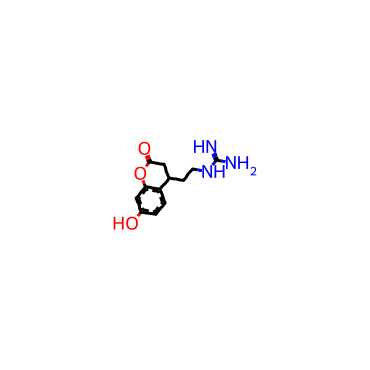 N=C(N)NCCC1CC(=O)Oc2cc(O)ccc21